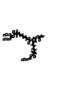 C=CC(=O)O[C@H]1C[C@@H](C(=O)OCCCCCCC(C)(C)C(=O)OC(CCCCCC)CCCCCCCC)N(CCCCC(C)(C)C(=O)OCCCCCCCCCCC)C1